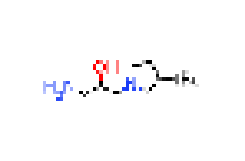 CC(C)(C)C1CCN(CC(O)CN)C1